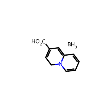 B.O=C(O)C1=CCN2C=CC=CC2=C1